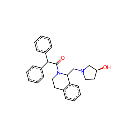 O=C(C(c1ccccc1)c1ccccc1)N1CCc2ccccc2C1CN1CC[C@H](O)C1